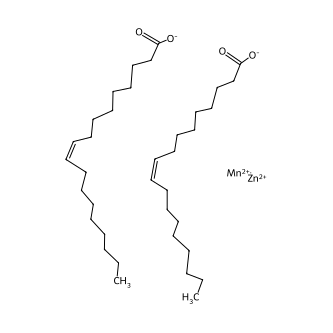 CCCCCCCC/C=C\CCCCCCCC(=O)[O-].CCCCCCCC/C=C\CCCCCCCC(=O)[O-].[Mn+2].[Zn+2]